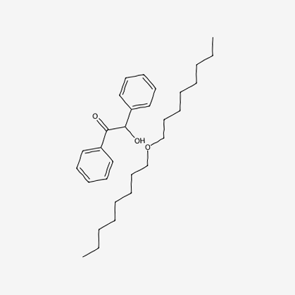 CCCCCCCCOCCCCCCCC.O=C(c1ccccc1)C(O)c1ccccc1